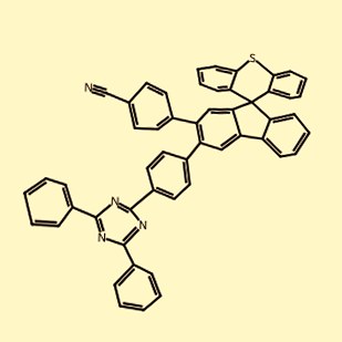 N#Cc1ccc(-c2cc3c(cc2-c2ccc(-c4nc(-c5ccccc5)nc(-c5ccccc5)n4)cc2)-c2ccccc2C32c3ccccc3Sc3ccccc32)cc1